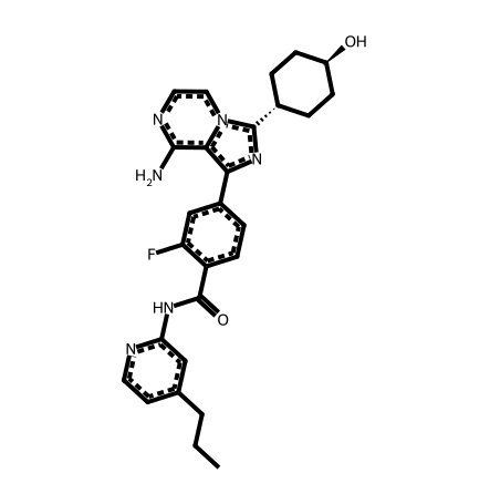 CCCc1ccnc(NC(=O)c2ccc(-c3nc([C@H]4CC[C@H](O)CC4)n4ccnc(N)c34)cc2F)c1